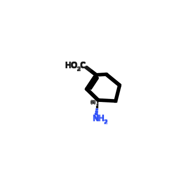 N[C@@H]1C=C(C(=O)O)CCC1